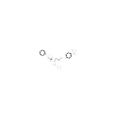 CC(C)(COc1ccccc1)NCC(O)COc1ccc(S(C)(=O)=O)cc1